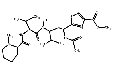 COC(=O)c1csc([C@@H](CC(C(C)C)N(C)C(=O)[C@@H](NC(=O)[C@H]2CCCCN2C)C(C)C)OC(C)=O)n1